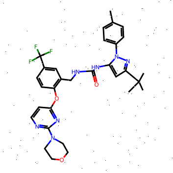 Cc1ccc(-n2nc(C(C)(C)C)cc2NC(=O)NCc2cc(C(F)(F)F)ccc2Oc2ccnc(N3CCOCC3)n2)cc1